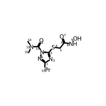 CC(C)c1nc(SCC(=O)NO)n(C(=O)N(C)C)n1